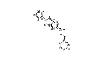 c1ccc(CCNc2nn3cc(-c4ccsc4)nc3s2)nc1